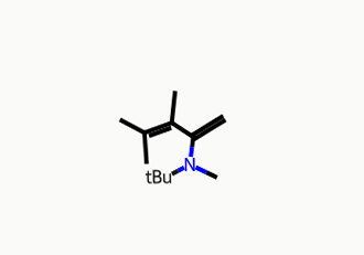 C=C(C(C)=C(C)C)N(C)C(C)(C)C